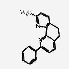 Cc1ccc2c(n1)-c1nc(-c3ccccc3)ccc1CC2